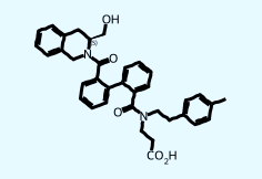 Cc1ccc(CCN(CCC(=O)O)C(=O)c2ccccc2-c2ccccc2C(=O)N2Cc3ccccc3C[C@H]2CO)cc1